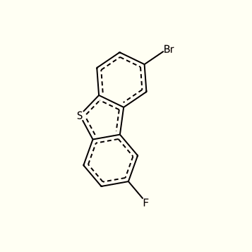 Fc1ccc2sc3ccc(Br)cc3c2c1